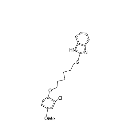 COc1ccc(OCCCCCCSc2nc3ccccc3[nH]2)c(Cl)c1